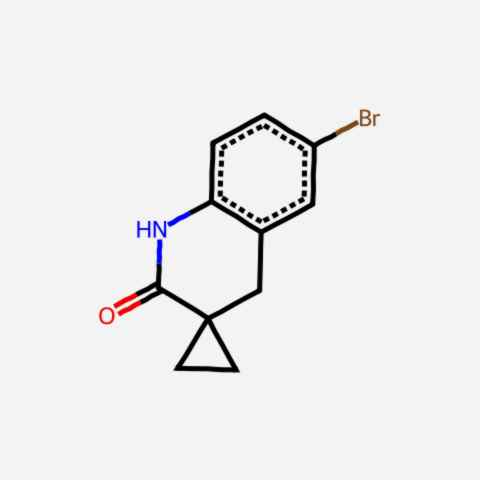 O=C1Nc2ccc(Br)cc2CC12CC2